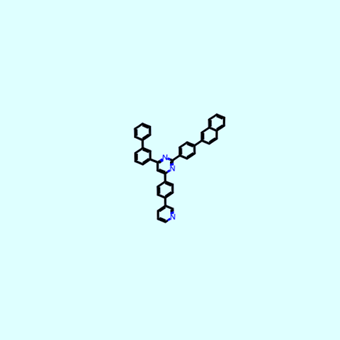 c1ccc(-c2cccc(-c3cc(-c4ccc(-c5cccnc5)cc4)nc(-c4ccc(-c5ccc6ccccc6c5)cc4)n3)c2)cc1